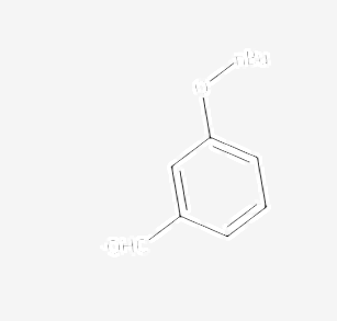 CCCCOc1cccc([C]=O)c1